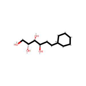 OC[C@@H](O)[C@H](O)[C@H](O)CCC1CCCCC1